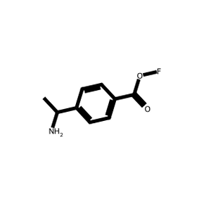 CC(N)c1ccc(C(=O)OF)cc1